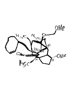 COCO[C@@H]1C[C@@](C)(C2C=CCCC2)C(=O)[C@H](C)C23CC[C@H]4C[C@]41C2[C@H](OC)CC3